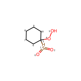 O=[SH](=O)C1(OO)CCCCC1